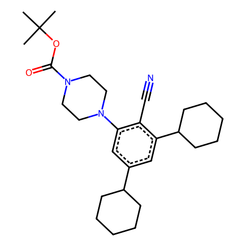 CC(C)(C)OC(=O)N1CCN(c2cc(C3CCCCC3)cc(C3CCCCC3)c2C#N)CC1